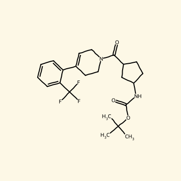 CC(C)(C)OC(=O)NC1CCC(C(=O)N2CC=C(c3ccccc3C(F)(F)F)CC2)C1